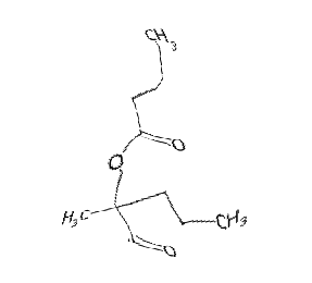 CCCC(=O)OC(C)([C]=O)CCC